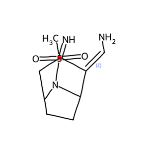 CS(=O)(=O)N1C2CCC1/C(=C/N)C(=N)C2